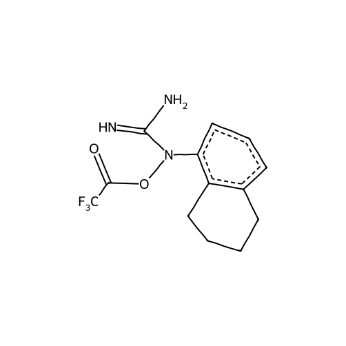 N=C(N)N(OC(=O)C(F)(F)F)c1cccc2c1CCCC2